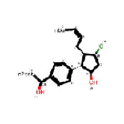 CCCC/C=C\C[C@@H]1[C@@H](c2ccc(C(O)CCCCC)cc2)[C@H](O)C[C@@H]1Cl